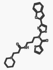 O=C(CCN1CCCCC1)NCCCN(C(=O)c1cccs1)c1nc(-c2cc3ccccc3o2)cs1